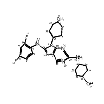 OC1CCC(n2c(Nc3ccc(F)cc3F)nc3cnc(N[C@H]4CC[C@H](O)CC4)nc32)CC1